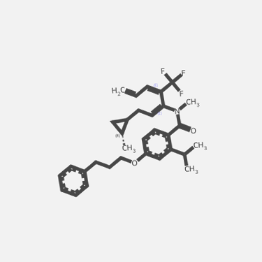 C=C/C=C(\C(=C/CC1C[C@H]1C)N(C)C(=O)c1ccc(OCCCc2ccccc2)cc1C(C)C)C(F)(F)F